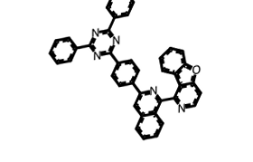 c1ccc(-c2nc(-c3ccccc3)nc(-c3ccc(-c4cc5ccccc5c(-c5nccc6oc7ccccc7c56)n4)cc3)n2)cc1